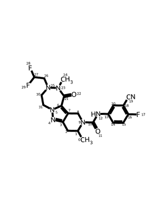 CC1Cc2nn3c(c2CN1C(=O)Nc1ccc(F)c(C#N)c1)C(=O)N(C)N(CC(F)F)CC3